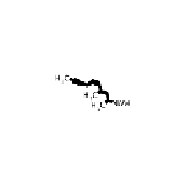 CC#CC/C=C\C(C)=C\C(C)NC